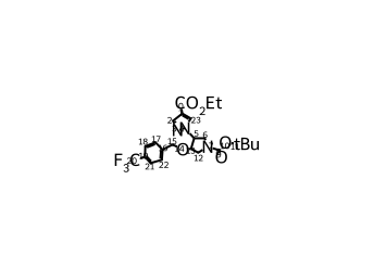 CCOC(=O)c1cnn(C2CN(C(=O)OC(C)(C)C)CC2OCc2ccc(C(F)(F)F)cc2)c1